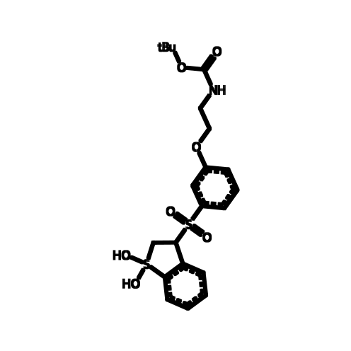 CC(C)(C)OC(=O)NCCOc1cccc(S(=O)(=O)C2CS(O)(O)c3ccccc32)c1